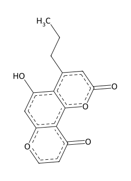 CCCc1cc(=O)oc2c1c(O)cc1occc(=O)c12